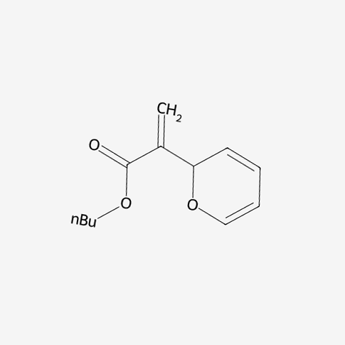 C=C(C(=O)OCCCC)C1C=CC=CO1